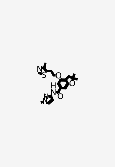 Cc1ncsc1CCOc1cc(C(=O)Nc2ccn(C)n2)cc2c1CC(C)(C)O2